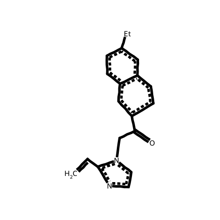 C=Cc1nccn1CC(=O)c1ccc2cc(CC)ccc2c1